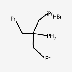 Br.CC(C)CC(P)(CC(C)C)CC(C)C